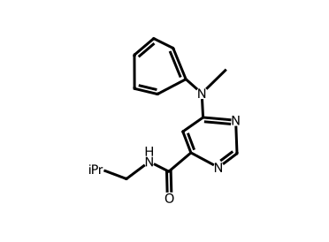 CC(C)CNC(=O)c1cc(N(C)c2ccccc2)ncn1